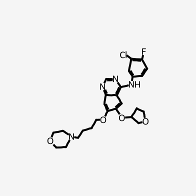 Fc1ccc(Nc2ncnc3cc(OCCCCN4CCOCC4)c(OC4CCOC4)cc23)cc1Cl